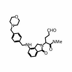 CNC(=O)C(CCC=O)N1Cc2c(NCc3ccc(CN4CCOCC4)cc3)cccc2C1=O